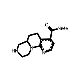 CNC(=O)c1ccnc2c1CCC1CNCCN21